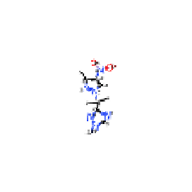 Cc1nn(C(C)(C)c2ncn(C)n2)cc1[N+](=O)[O-]